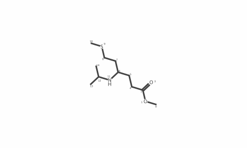 COC(=O)CCC(CCSC)NC(C)C